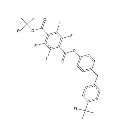 CCC(C)(C)OC(=O)c1c(F)c(F)c(C(=O)Oc2ccc(Cc3ccc(C(C)(C)CC)cc3)cc2)c(F)c1F